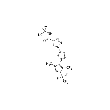 Cn1nc(C(F)(F)C(F)(F)F)c(C(F)(F)F)c1-n1cc(-n2cc(C(=O)NC3(C#N)CC3)nn2)cn1